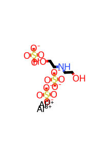 O=S(=O)([O-])[O-].O=S(=O)([O-])[O-].O=S(=O)([O-])[O-].OCCNCCO.[Al+3].[Al+3]